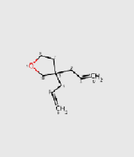 C=CCC1(CC=C)CCOC1